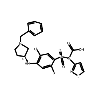 O=C(O)N(c1ccsn1)S(=O)(=O)c1cc(Cl)c(N[C@H]2CCN(Cc3ccccc3)C2)cc1F